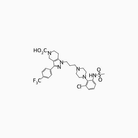 CS(=O)(=O)Nc1cccc(Cl)c1N1CCN(CCCn2nc(-c3ccc(C(F)(F)F)cc3)c3c2CCN(C(=O)O)C3)CC1